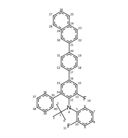 CC(C)(C)N(c1ccccc1F)c1c(F)cc(-c2ccc(-c3ccc4ccccc4c3)cc2)cc1-c1ccccc1